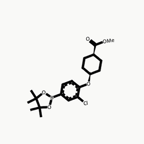 COC(=O)[C@H]1CC[C@@H](Oc2ccc(B3OC(C)(C)C(C)(C)O3)cc2Cl)CC1